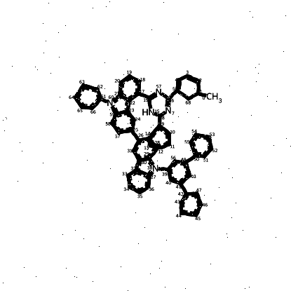 CC1C=CC=C(C2=NC(c3ccccc3)NC(c3cccc4c3c3cc(-c5ccc6c(c5)c5ccccc5n6-c5cc(-c6ccccc6)cc(-c6ccccc6)c5)ccc3n4-c3ccccc3)=N2)C1